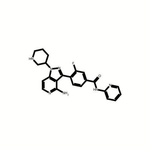 Nc1nccc2c1c(-c1ccc(C(=O)Nc3ccccn3)cc1F)nn2C1CCCNC1